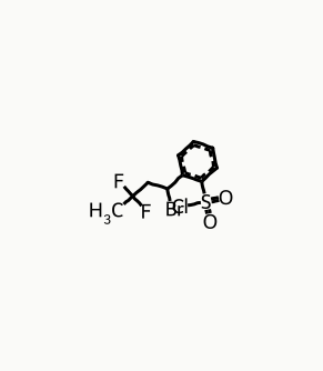 CC(F)(F)CC(Br)c1ccccc1S(=O)(=O)Cl